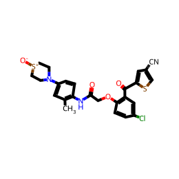 Cc1cc(N2CC[S+]([O-])CC2)ccc1NC(=O)COc1ccc(Cl)cc1C(=O)c1cc(C#N)cs1